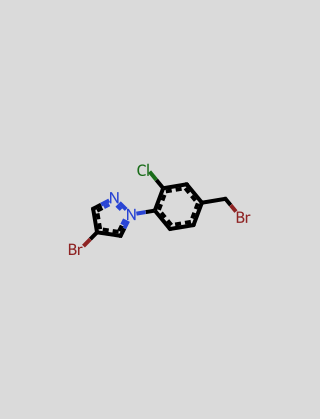 Clc1cc(CBr)ccc1-n1cc(Br)cn1